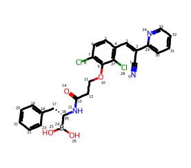 N#CC(=Cc1ccc(Cl)c(OCCC(=O)N[C@@H](Cc2ccccc2)B(O)O)c1Cl)c1ccccn1